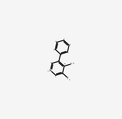 Fc1cn[c]c(-c2ccccc2)c1F